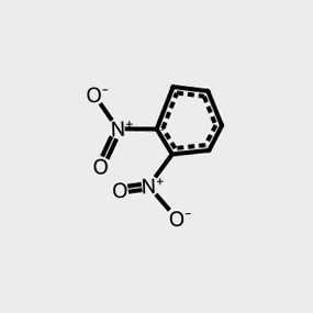 O=[N+]([O-])c1ccccc1[N+](=O)[O-]